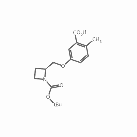 Cc1ccc(OC[C@@H]2CCN2C(=O)OC(C)(C)C)cc1C(=O)O